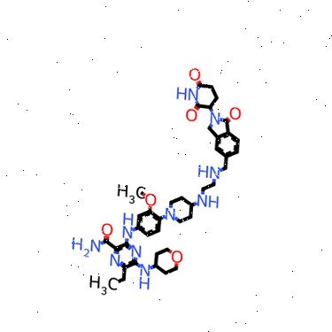 CCc1nc(C(N)=O)c(Nc2ccc(N3CCC(NCCNCc4ccc5c(c4)CN(C4CCC(=O)NC4=O)C5=O)CC3)c(OC)c2)nc1NC1CCOCC1